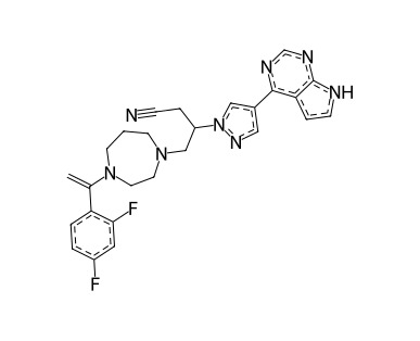 C=C(c1ccc(F)cc1F)N1CCCN(CC(CC#N)n2cc(-c3ncnc4[nH]ccc34)cn2)CC1